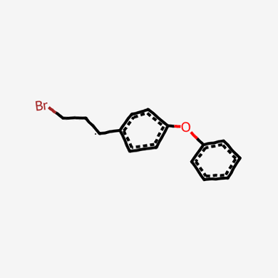 BrCC[CH]c1ccc(Oc2ccccc2)cc1